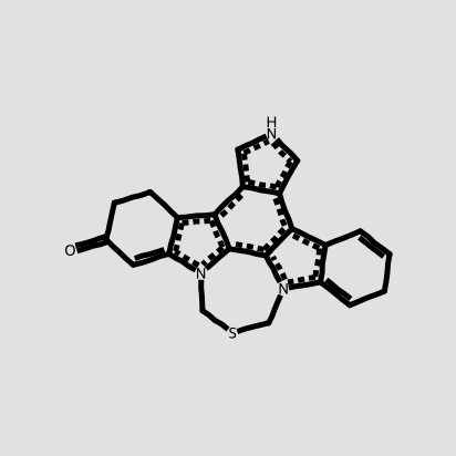 O=C1C=c2c(c3c4c[nH]cc4c4c5c(n6c4c3n2CSC6)=CCC=C5)CC1